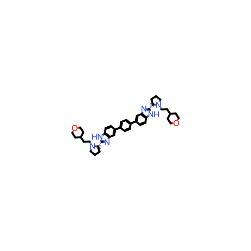 c1cc(-c2ccc3[nH]c([C@@H]4CCCN4CCC4CCOCC4)nc3c2)ccc1-c1ccc2[nH]c([C@@H]3CCCN3CCC3CCOCC3)nc2c1